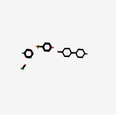 CCCCC1CCC(C2CCC(COc3ccc(C(F)(F)Oc4cc(F)c(OC=C(F)F)c(F)c4)cc3)CC2)CC1